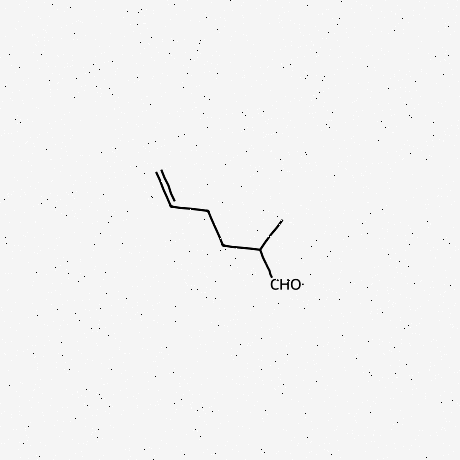 C=CCCC(C)[C]=O